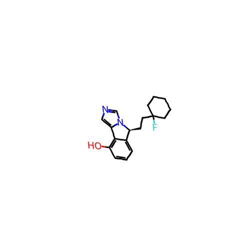 Oc1cccc2c1-c1cncn1[C@H]2CCC1(F)CCCCC1